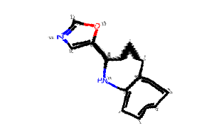 c1ccc2c(c1)CCC(c1cnco1)N2